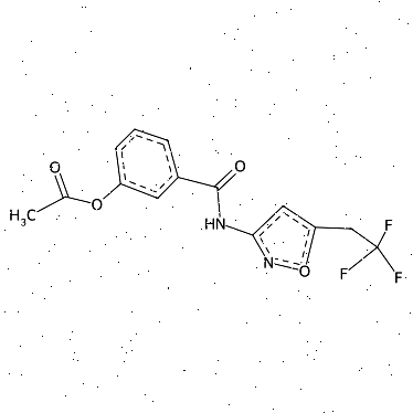 CC(=O)Oc1cccc(C(=O)Nc2cc(CC(F)(F)F)on2)c1